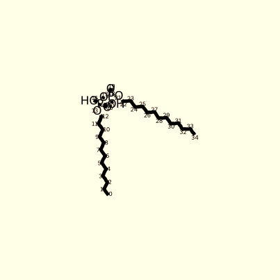 CCCCCCCCCCCCCOP(=O)(O)OP(=O)(O)OCCCCCCCCCCCCC